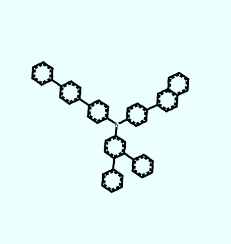 c1ccc(-c2ccc(-c3ccc(N(c4ccc(-c5ccc6ccccc6c5)cc4)c4ccc(-c5ccccc5)c(-c5ccccc5)c4)cc3)cc2)cc1